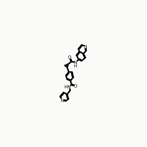 O=C(NCc1ccncc1)c1ccc(C2CC2C(=O)Nc2ccc3cnccc3c2)cc1